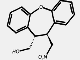 O=[N+]([O-])C[C@@H]1c2ccccc2Oc2ccccc2[C@H]1CO